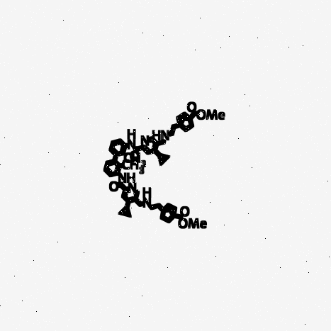 COC(=O)C12CCC(CCNCc3cnc(C(=O)Nc4cccc(-c5cccc(NC(=O)c6cc(C7CC7)c(CNCCC78CCC(C(=O)OC)(CC7)C8)cn6)c5C)c4C)cc3C3CC3)(CC1)C2